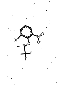 C[C@H](Oc1c(Br)cccc1[N+](=O)[O-])C(F)(F)F